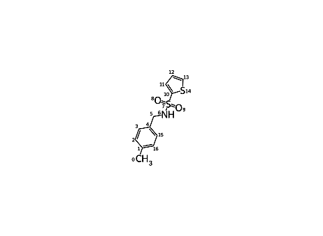 Cc1ccc(CNS(=O)(=O)c2cccs2)cc1